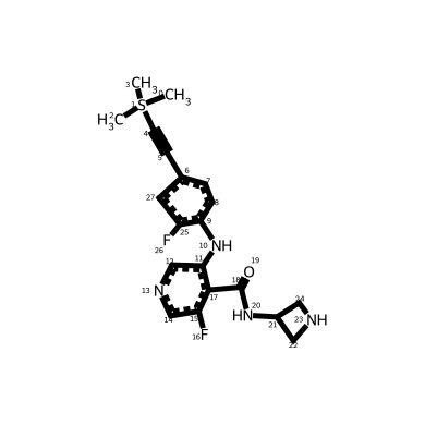 CS(C)(C)C#Cc1ccc(Nc2cncc(F)c2C(=O)NC2CNC2)c(F)c1